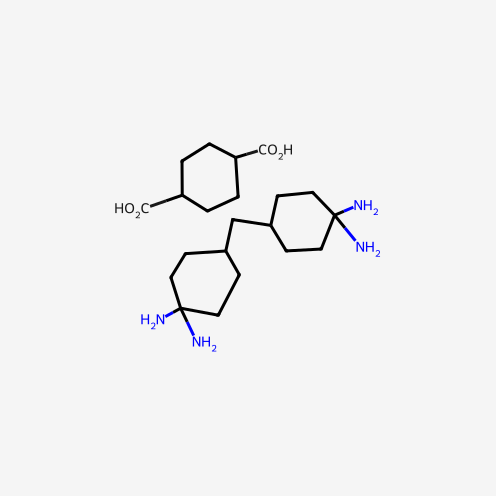 NC1(N)CCC(CC2CCC(N)(N)CC2)CC1.O=C(O)C1CCC(C(=O)O)CC1